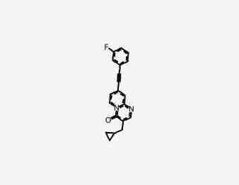 O=c1c(CC2CC2)cnc2cc(C#Cc3cccc(F)c3)ccn12